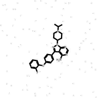 CC(C)N1CCC(n2nc(-c3ccc(Oc4ccccc4F)cc3)c3c(N)ncnc32)CC1